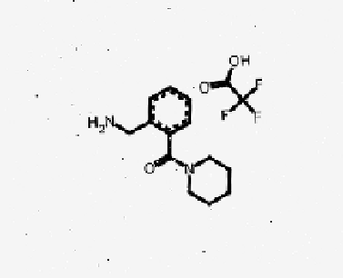 NCc1ccccc1C(=O)N1CCCCC1.O=C(O)C(F)(F)F